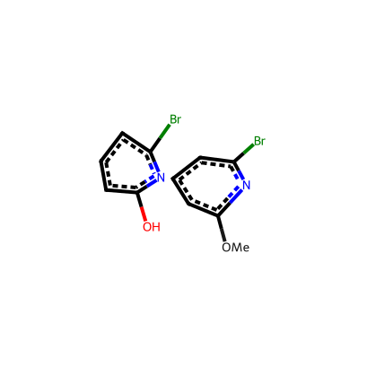 COc1cccc(Br)n1.Oc1cccc(Br)n1